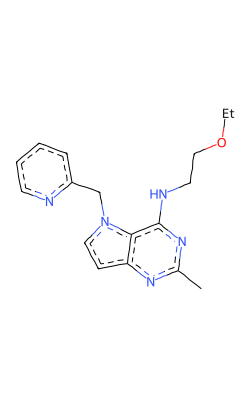 CCOCCNc1nc(C)nc2ccn(Cc3ccccn3)c12